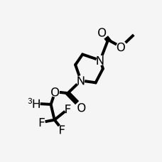 [3H]C(OC(=O)N1CCN(C(=O)OC)CC1)C(F)(F)F